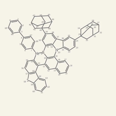 c1ccc(-c2ccc(N3B4c5c(cc6ccccc6c5-n5c6ccc(C78CC9CC(CC(C9)C7)C8)cc6c6cc(C78CC9CC(CC(C9)C7)C8)cc4c65)-c4c3ccc3sc5ccccc5c43)cc2)cc1